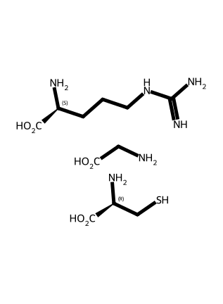 N=C(N)NCCC[C@H](N)C(=O)O.NCC(=O)O.N[C@@H](CS)C(=O)O